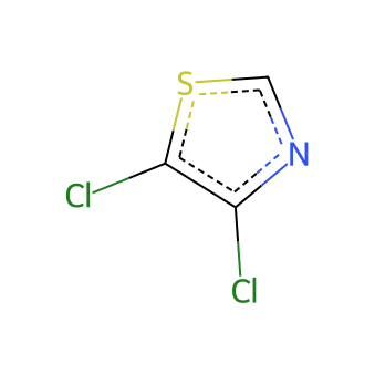 Clc1ncsc1Cl